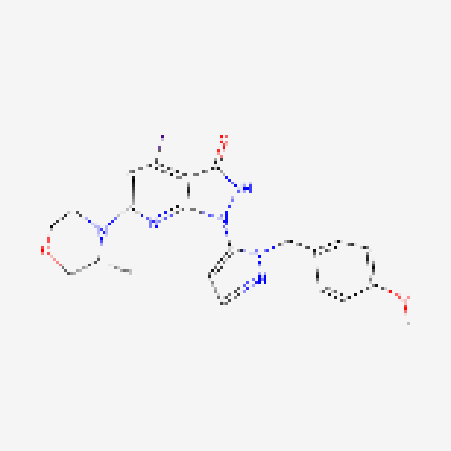 COc1ccc(Cn2nccc2-n2[nH]c(=O)c3c(I)cc(N4CCOC[C@H]4C)nc32)cc1